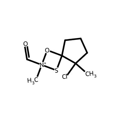 CC1(Cl)CCCC12O[N+](C)(C=O)S2